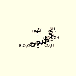 CCOC(=O)N1CCC(N2CC/C(=C\C3=C(C(=O)O)N4C(=O)[C@@H](NC(=O)/C(=N\O)c5csc(N)n5)[C@H]4SC3)C2=O)CC1.O=C(O)C(F)(F)F